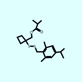 Cc1cc(C(C)C)cc(C)c1CSSC1(COC(=O)C(C)C)CCC1